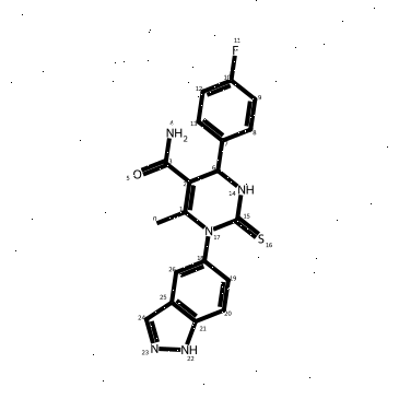 CC1=C(C(N)=O)C(c2ccc(F)cc2)NC(=S)N1c1ccc2[nH]ncc2c1